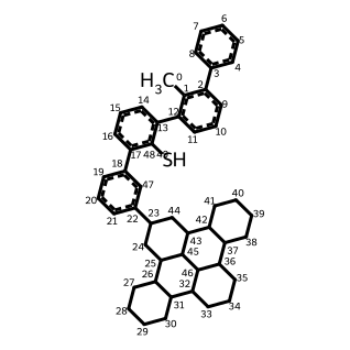 Cc1c(-c2ccccc2)cccc1-c1cccc(-c2cccc(C3CC4C5CCCCC5C5CCCC6C7CCCCC7C(C3)C4C56)c2)c1S